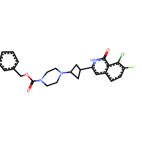 O=C(OCc1ccccc1)N1CCN(C2CC(c3cc4ccc(F)c(Cl)c4c(=O)[nH]3)C2)CC1